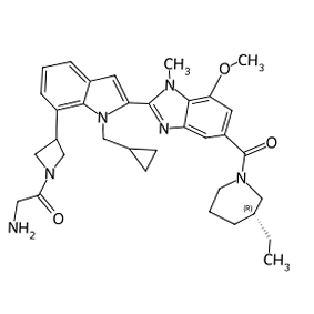 CC[C@@H]1CCCN(C(=O)c2cc(OC)c3c(c2)nc(-c2cc4cccc(C5CN(C(=O)CN)C5)c4n2CC2CC2)n3C)C1